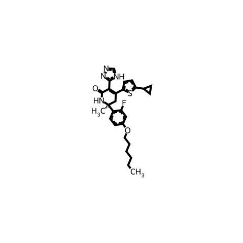 CCCCCCOc1ccc([C@]2(C)CC(c3ccc(C4CC4)s3)=C(c3nnc[nH]3)C(=O)N2)c(F)c1